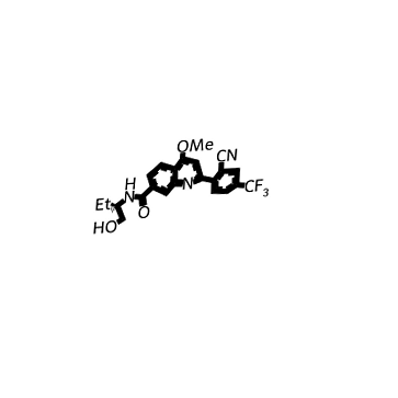 CC[C@H](CO)NC(=O)c1ccc2c(OC)cc(-c3ccc(C(F)(F)F)cc3C#N)nc2c1